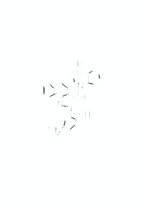 Cc1ccc([N+](=O)[O-])cc1N=Nc1c(O)c(C(=O)Nc2ccccc2C)cc2ccccc12